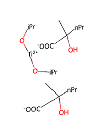 CC(C)[O][Ti+2][O]C(C)C.CCCC(C)(O)C(=O)[O-].CCCC(C)(O)C(=O)[O-]